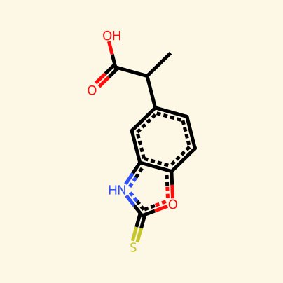 CC(C(=O)O)c1ccc2oc(=S)[nH]c2c1